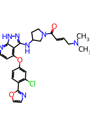 CN(C)CC=CC(=O)N1CCC(Nc2n[nH]c3nccc(Oc4ccc(-c5ncco5)c(Cl)c4)c23)C1